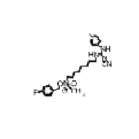 CS(=O)(=O)N(CCCCCCCCN/C(=N\C#N)Nc1ccncc1)OCc1ccc(F)cc1